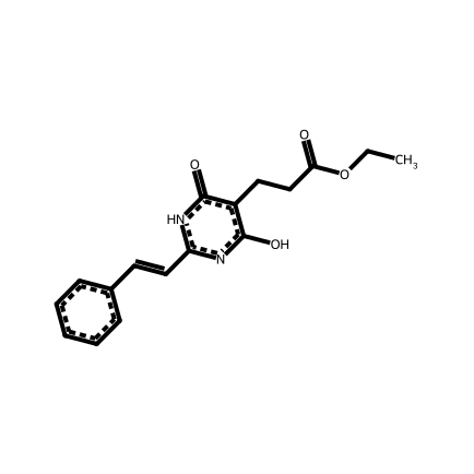 CCOC(=O)CCc1c(O)nc(/C=C/c2ccccc2)[nH]c1=O